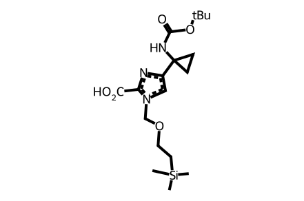 CC(C)(C)OC(=O)NC1(c2cn(COCC[Si](C)(C)C)c(C(=O)O)n2)CC1